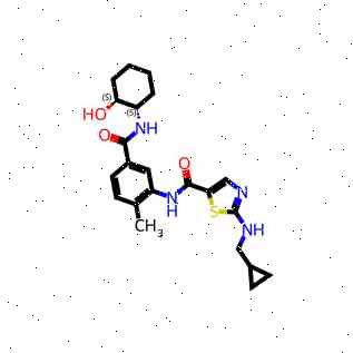 Cc1ccc(C(=O)N[C@H]2CCCC[C@@H]2O)cc1NC(=O)c1cnc(NCC2CC2)s1